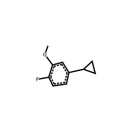 COc1cc(C2CC2)ccc1F